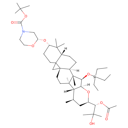 CC[Si](CC)(CC)O[C@H]1[C@H]2O[C@@H]([C@H](OC(C)=O)C(C)(C)O)C[C@@H](C)[C@@H]2[C@@]2(C)CC[C@@]34CC35CC[C@H](O[C@H]3CN(C(=O)OC(C)(C)C)CCO3)C(C)(C)[C@@H]5CC[C@H]4[C@]12C